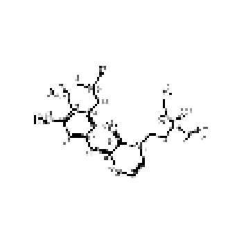 CCOP(=O)(CCN1C=CSC(=Cc2cc(CN(C)C)c(OC(C)=O)c(C(C)(C)C)c2)C1=O)OCC